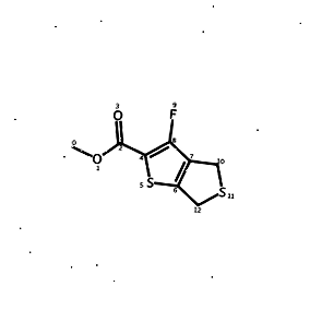 COC(=O)c1sc2c(c1F)CSC2